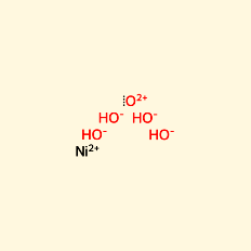 [Ni+2].[O+2].[OH-].[OH-].[OH-].[OH-]